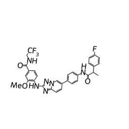 COc1cc(C(=O)NCC(F)(F)F)ccc1Nc1nc2ccc(-c3ccc(NC(=O)C(C)c4ccc(F)cc4)cc3)cn2n1